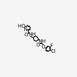 O=C(COc1ccc(Cl)c(F)c1)NC1CCC(CNC(=O)c2cccc(O)n2)CC1